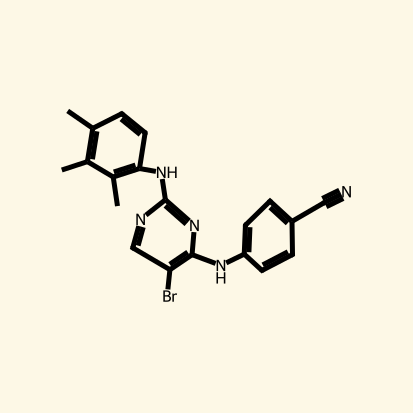 Cc1ccc(Nc2ncc(Br)c(Nc3ccc(C#N)cc3)n2)c(C)c1C